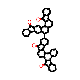 O=c1c2ccccc2c2cc3c(-c4ccc5c(c4)c(=O)c4ccc6c7c(=O)c8ccccc8c7c7ccccc7c6c45)cc4ccc5c6ccccc6c(=O)c5c4c3cc12